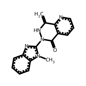 C=C1NN(c2nc3ccccc3n2C)C(=O)c2cccnc21